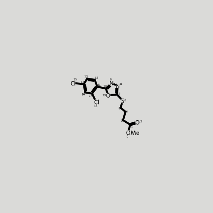 COC(=O)CCCSc1nnc(-c2ccc(Cl)cc2Cl)o1